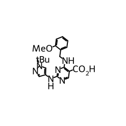 COc1ccccc1CNc1nc(Nc2cnn(C(C)(C)C)c2)ncc1C(=O)O